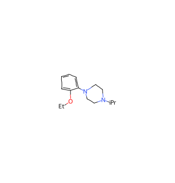 CCOc1ccccc1N1CCN(C(C)C)CC1